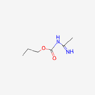 CCCOC(=O)NC(C)=N